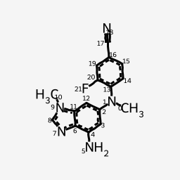 CN(c1cc(N)c2ncn(C)c2c1)c1ccc(C#N)cc1F